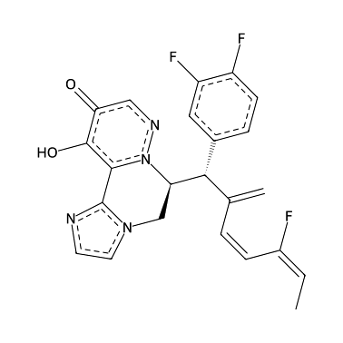 C=C(/C=C\C(F)=C/C)[C@@H](c1ccc(F)c(F)c1)[C@H]1Cn2ccnc2-c2c(O)c(=O)cnn21